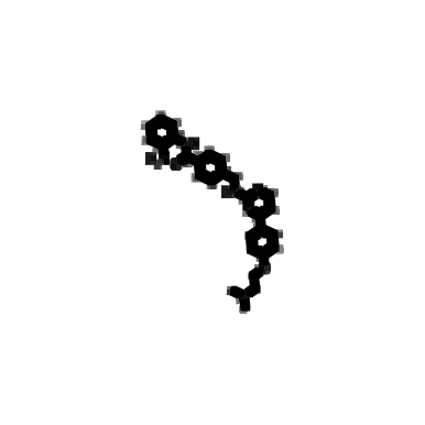 CN(C)CCOc1ccc(-c2ccnc(NCc3ccc(C(=O)Nc4ccccc4N)cc3)n2)cc1